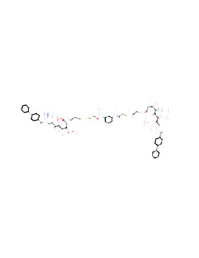 CC(=O)N[C@@H]1[C@H]([C@H](O)[C@@H](O)CNC(=O)c2ccc(-c3ccccc3)cc2)O[C@@](OCCCSCCC(=O)Nc2cccc(NC(=O)CCSCCCO[C@]3(C(=O)O)C[C@H](O)[C@@H](NC(C)=O)[C@H]([C@H](O)[C@H](O)CNC(=O)c4ccc(-c5ccccc5)cc4)O3)c2)(C(=O)O)C[C@H]1O